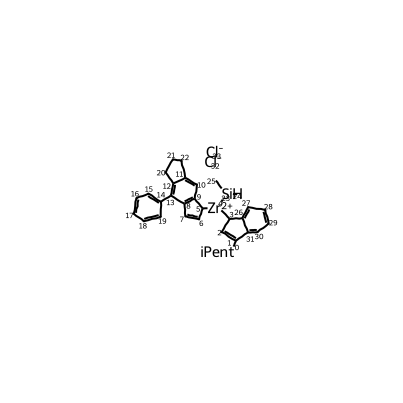 CCCC(C)C1=C[CH]([Zr+2]([CH]2C=Cc3c2cc2c(c3-c3ccccc3)CCC2)[SiH](C)C)c2ccccc21.[Cl-].[Cl-]